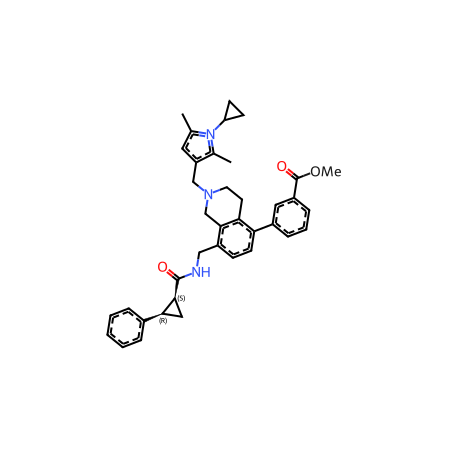 COC(=O)c1cccc(-c2ccc(CNC(=O)[C@H]3C[C@H]3c3ccccc3)c3c2CCN(Cc2cc(C)n(C4CC4)c2C)C3)c1